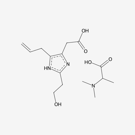 C=CCc1[nH]c(CCO)nc1CC(=O)O.CC(C(=O)O)N(C)C